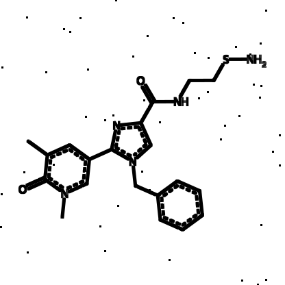 Cc1cc(-c2nc(C(=O)NCCSN)cn2Cc2ccccc2)cn(C)c1=O